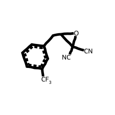 N#CC1(C#N)OC1Cc1cccc(C(F)(F)F)c1